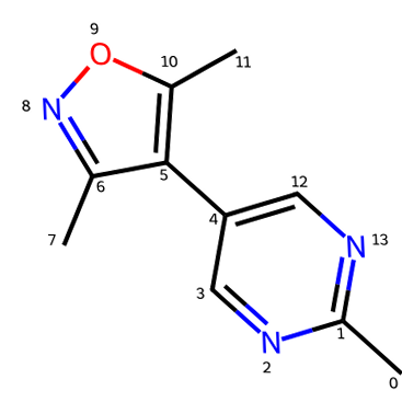 Cc1ncc(-c2c(C)noc2C)cn1